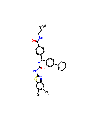 N#Cc1cc2sc(NC(=O)NC(c3ccc(C(=O)NCCC(=O)O)cc3)c3ccc(C4=CCCCC4)cc3)nc2cc1C(F)(F)F